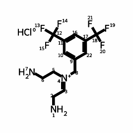 Cl.NC/C=[N+](\CCN)Cc1cc(C(F)(F)F)cc(C(F)(F)F)c1